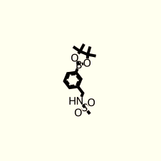 CC1(C)OB(c2cccc(CNS(C)(=O)=O)c2)OC1(C)C